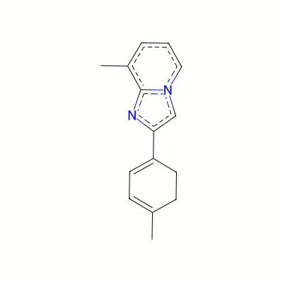 CC1=CC=C(c2cn3cccc(C)c3n2)CC1